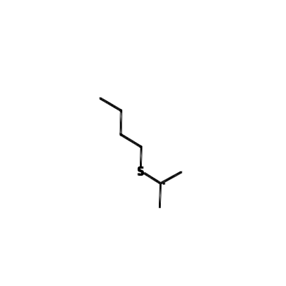 CCCCS[C](C)C